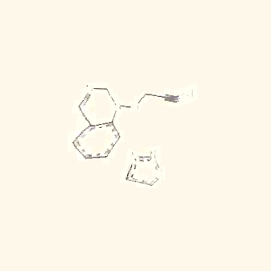 C#CCON1CN=Cc2ccccc21.c1csnn1